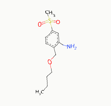 CCCCOCc1ccc(S(C)(=O)=O)cc1N